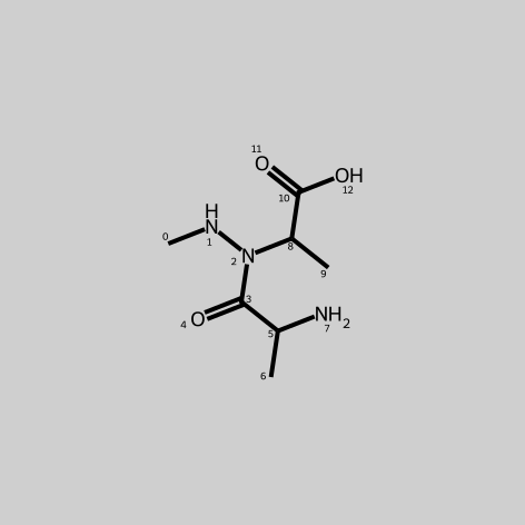 CNN(C(=O)C(C)N)C(C)C(=O)O